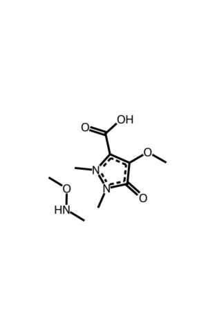 CNOC.COc1c(C(=O)O)n(C)n(C)c1=O